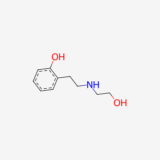 OCCNCCc1ccccc1O